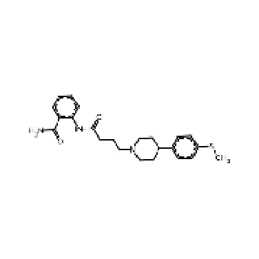 CSc1ccc(C2CCN(CCCC(=O)Nc3ccccc3C(N)=O)CC2)cc1